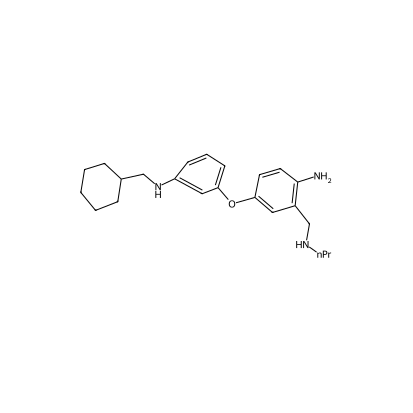 CCCNCc1cc(Oc2cccc(NCC3CCCCC3)c2)ccc1N